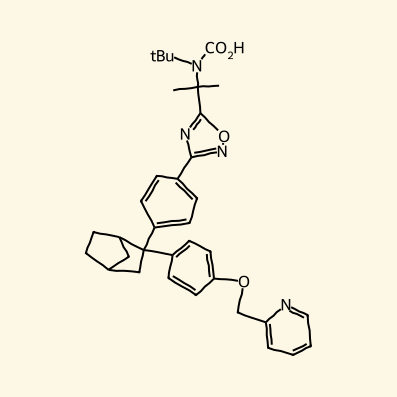 CC(C)(C)N(C(=O)O)C(C)(C)c1nc(-c2ccc(C3(c4ccc(OCc5ccccn5)cc4)CC4CCC3C4)cc2)no1